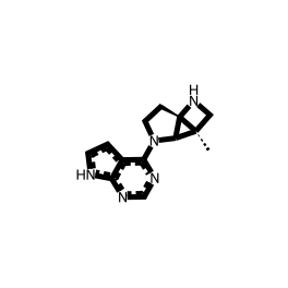 C[C@@]12CN[C@]13CCN(c1ncnc4[nH]ccc14)C23